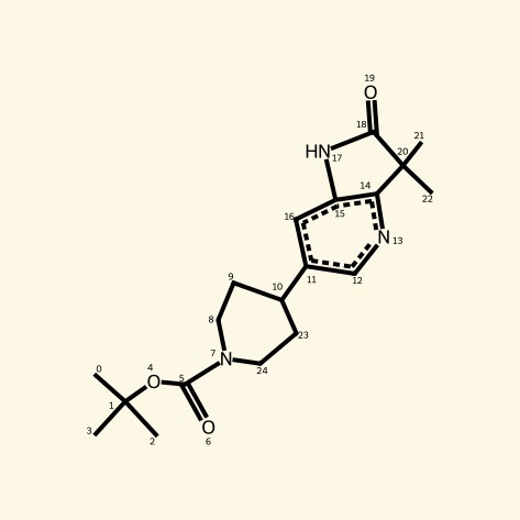 CC(C)(C)OC(=O)N1CCC(c2cnc3c(c2)NC(=O)C3(C)C)CC1